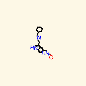 O=CNCc1ccc2[nH]cc(CCN=Cc3ccccc3)c2c1